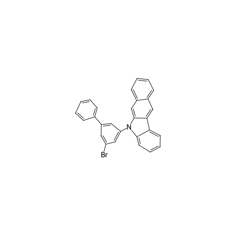 Brc1cc(-c2ccccc2)cc(-n2c3ccccc3c3cc4ccccc4cc32)c1